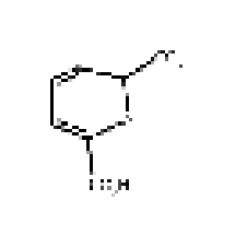 O=C(O)C1=CC=CC(C(=O)O)[N]1